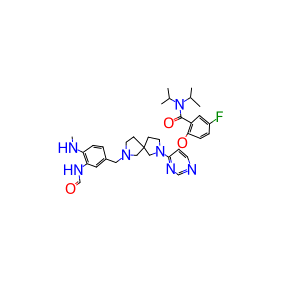 CNc1ccc(CN2CCC3(CCN(c4ncncc4Oc4ccc(F)cc4C(=O)N(C(C)C)C(C)C)C3)C2)cc1NC=O